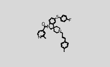 Cc1ccc(C=CCN2CCC3(CC2)CN(C(=O)c2ccnc(C)c2)c2ccc(Sc4ccc(F)cc4)cc23)cc1